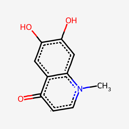 Cn1c[c]c(=O)c2cc(O)c(O)cc21